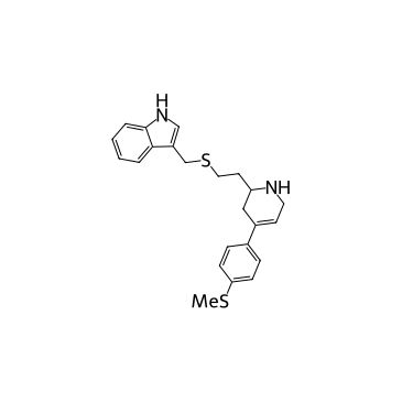 CSc1ccc(C2=CCNC(CCSCc3c[nH]c4ccccc34)C2)cc1